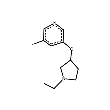 CCN1CCC(Oc2cncc(F)c2)C1